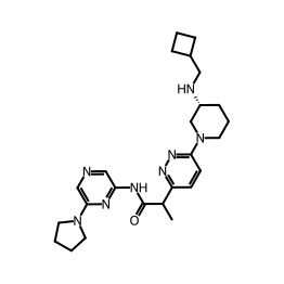 CC(C(=O)Nc1cncc(N2CCCC2)n1)c1ccc(N2CCC[C@@H](NCC3CCC3)C2)nn1